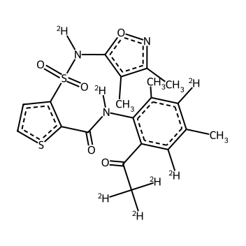 [2H]c1c(C)c([2H])c(C(=O)C([2H])([2H])[2H])c(N([2H])C(=O)c2sccc2S(=O)(=O)N([2H])c2onc(C)c2C)c1C